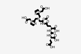 O=COC(CN(Cc1nccn1CC(=O)O)Cc1nccn1CC(=O)O)NC(=O)CC[C@H](NC(=O)N[C@@H](CCC(=O)O)C(=O)O)C(=O)O